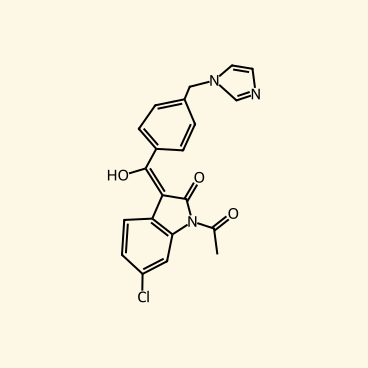 CC(=O)N1C(=O)C(=C(O)c2ccc(Cn3ccnc3)cc2)c2ccc(Cl)cc21